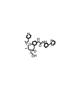 C[C@@H]1CN([C@@H](C)CO)C(=O)Cc2cc(NC(=O)Nc3cccc(-c4ncccn4)c3)ccc2O[C@H]1CN(C)Cc1ccncc1